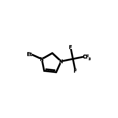 CCN1C=CN(C(F)(F)C(F)(F)F)C1